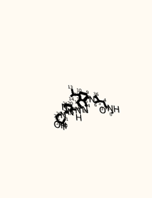 CNC(=O)CC1CN(c2ccc(C(C)C)c3cc(Nc4ccnc(N5CCC(O)C(F)C5)n4)ncc23)C1